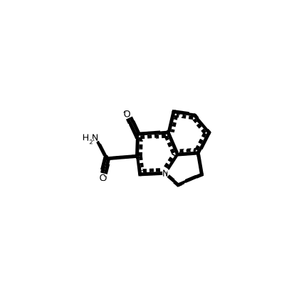 NC(=O)c1cn2c3c(cccc3c1=O)CC2